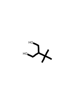 CC(C)(C)C(CO)CO